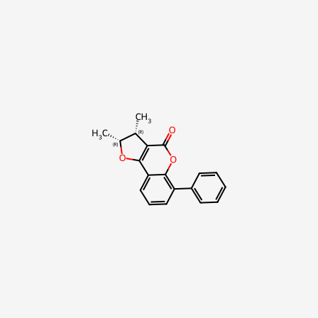 C[C@@H]1c2c(c3cccc(-c4ccccc4)c3oc2=O)O[C@@H]1C